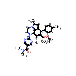 Cc1ccc(-c2c([C@H](OC(C)(C)C)C(=O)O)c(C)c3c4c2cc(C)n4CCN3c2ncc(C(=O)N(C)C)cn2)cc1